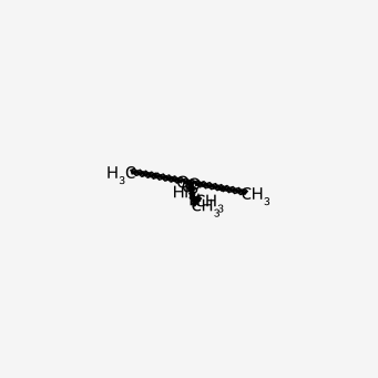 CCCCCCCCC=CCCCCCCCCOCC(COCCCCCCCCC=CCCCCCCCC)OC(=S)NCCN(CC)CC